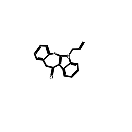 C=CCn1c2c(c3ccccc31)C(=O)Cc1ccccc1S2